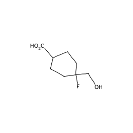 O=C(O)C1CCC(F)(CO)CC1